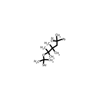 CC(C)C(C)(C)CC(C)(C)C(C)(C)OC(C)(C)S